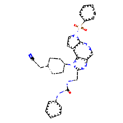 N#CCC1CCC(n2c(CNC(=O)Nc3ccccc3)nc3cnc4c(ccn4S(=O)(=O)c4ccccc4)c32)CC1